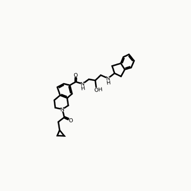 O=C(NCC(O)CNC1Cc2ccccc2C1)c1ccc2c(c1)CN(C(=O)CC1CC1)CC2